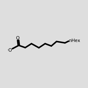 CCCCCCCCCCCCCC([O])=O